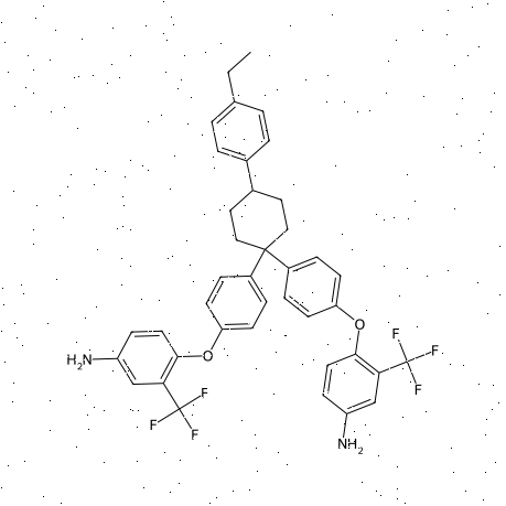 CCc1ccc(C2CCC(c3ccc(Oc4ccc(N)cc4C(F)(F)F)cc3)(c3ccc(Oc4ccc(N)cc4C(F)(F)F)cc3)CC2)cc1